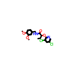 CCC(Oc1ncc(Cl)cc1Cl)C(=O)NCc1ccc(OC)c(OC)c1